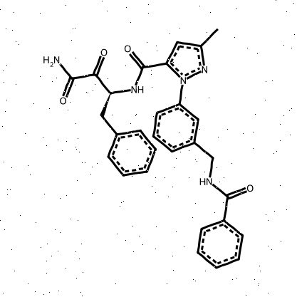 Cc1cc(C(=O)N[C@@H](Cc2ccccc2)C(=O)C(N)=O)n(-c2cccc(CNC(=O)c3ccccc3)c2)n1